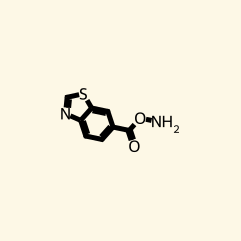 NOC(=O)c1ccc2ncsc2c1